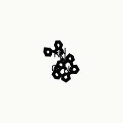 c1ccc(-c2nc(-n3c4cccc5c6cccc7c8ccccc8n(c67)c6c7c(cc3c6c54)oc3ccccc37)nc3ccccc23)cc1